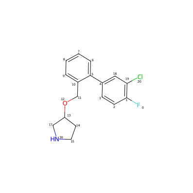 Fc1ccc(-c2ccccc2COC2CCNC2)cc1Cl